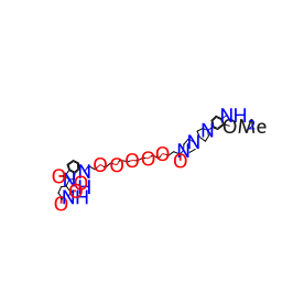 COc1cc(N2CCC(N3CCN(C(=O)CCOCCOCCOCCOCCOCCNc4cccc5c4C(=O)N(C4CCC(=O)NC4=O)C5=O)CC3)CC2)ccc1N